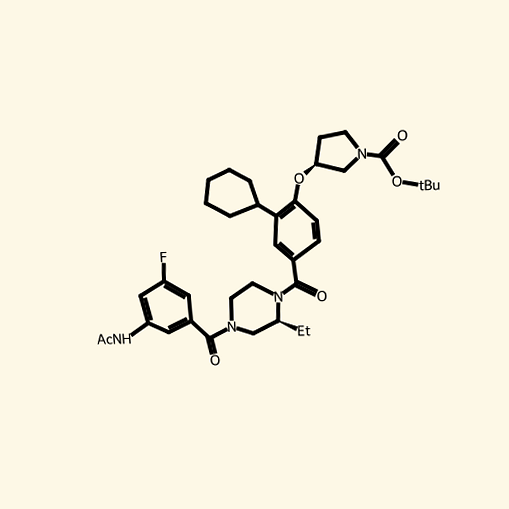 CC[C@H]1CN(C(=O)c2cc(F)cc(NC(C)=O)c2)CCN1C(=O)c1ccc(O[C@H]2CCN(C(=O)OC(C)(C)C)C2)c(C2CCCCC2)c1